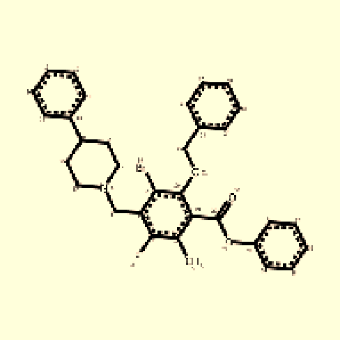 Cc1c(F)c(CN2CCC(c3ccccc3)CC2)c(Br)c(OCc2ccccc2)c1C(=O)Oc1ccccc1